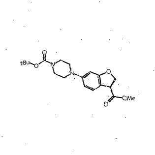 COC(=O)C1COc2cc(N3CCN(C(=O)OC(C)(C)C)CC3)ccc21